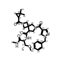 CNC(=O)[C@@H](NC(=O)C1CN(C(=O)c2cnn(Cc3ccccc3)c2)CC12CN(C(=O)C1CC1(C)C)C2)[C@@H](C)OC